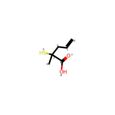 C=CCC(C)(S)C(=O)O